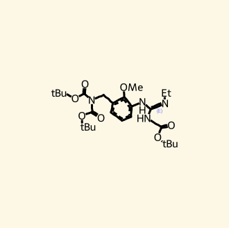 CC/N=C(/NC(=O)OC(C)(C)C)Nc1cccc(CN(C(=O)OC(C)(C)C)C(=O)OC(C)(C)C)c1OC